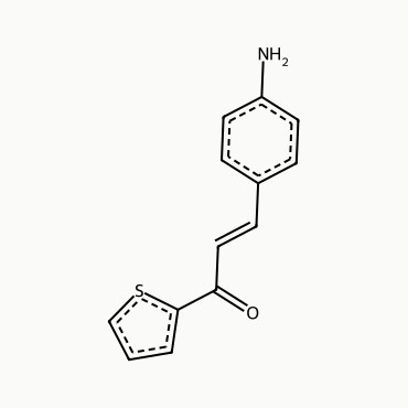 Nc1ccc(/C=C/C(=O)c2cccs2)cc1